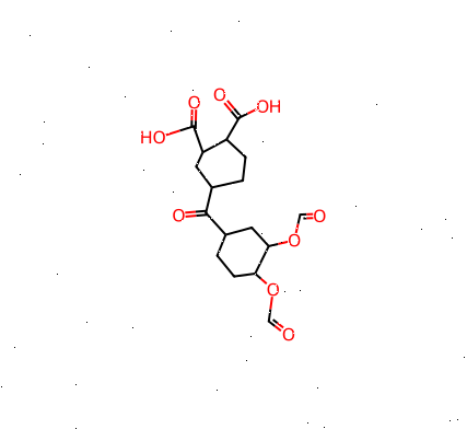 O=COC1CCC(C(=O)C2CCC(C(=O)O)C(C(=O)O)C2)CC1OC=O